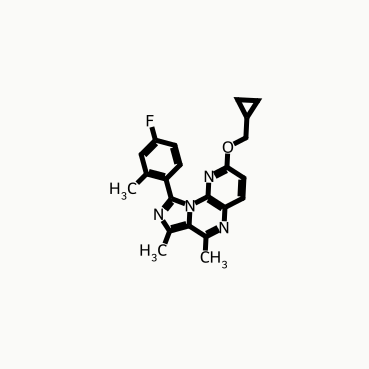 Cc1cc(F)ccc1-c1nc(C)c2c(C)nc3ccc(OCC4CC4)nc3n12